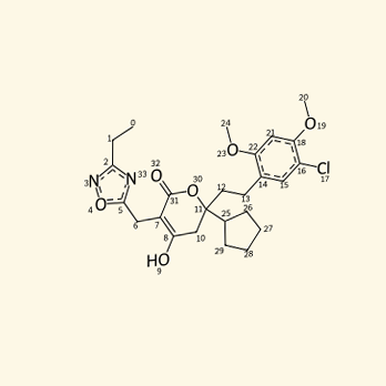 CCc1noc(CC2=C(O)CC(CCc3cc(Cl)c(OC)cc3OC)(C3CCCC3)OC2=O)n1